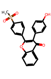 CS(=O)(=O)c1ccc(-c2oc3ccccc3c(=O)c2-c2ccc(O)cc2)cc1